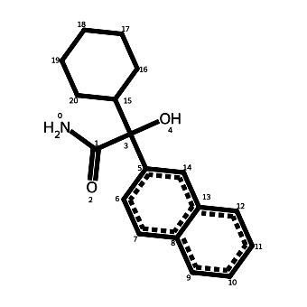 NC(=O)C(O)(c1ccc2ccccc2c1)C1CCCCC1